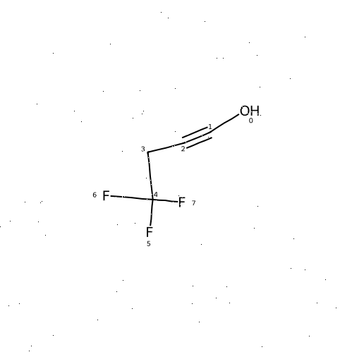 OC#CCC(F)(F)F